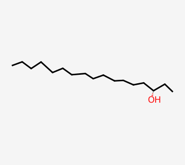 CCCCCCCCCCCCCC[C@@H](O)CC